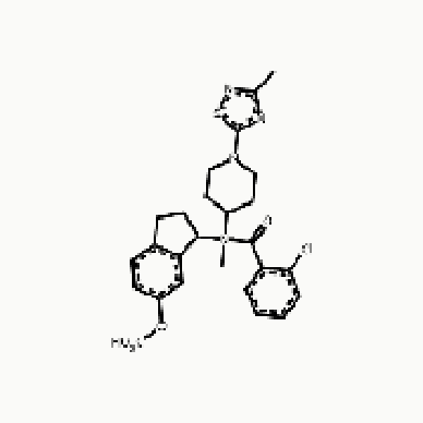 Cc1nsc(N2CCC([N+](C)(C(=O)c3ccccc3Cl)[C@@H]3CCc4ccc(OC(=O)O)cc43)CC2)n1